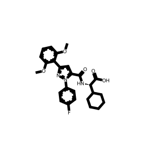 COc1cccc(OC)c1-c1cc(C(=O)N[C@H](C(=O)O)C2CCCCC2)n(-c2ccc(F)cc2)n1